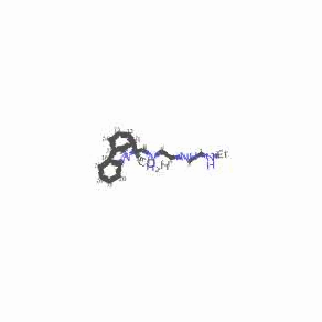 CCNCCNCCNCC1(C(=O)O)c2cccc3c4ccccc4n1c23